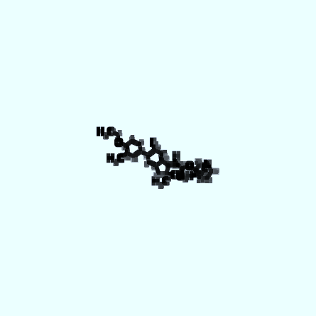 CCOc1ccc(-c2cc3c(cc2F)[C@H](NC(=O)O[C@@H]2CN4CCC2CC4)C(C)(C)C3)cc1C